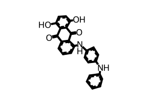 O=C1c2cccc(Nc3ccc(Nc4ccccc4)cc3)c2C(=O)c2c(O)ccc(O)c21